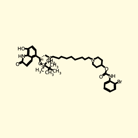 CC(C)(C)[Si](C)(C)O[C@@H](CNCCCCCCCCCN1CCC(OC(=O)Nc2ccccc2Br)CC1)c1ccc(O)c2[nH]c(=O)ccc12